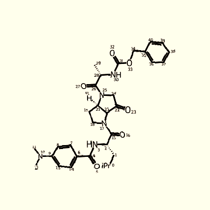 CC(C)C[C@H](NC(=O)c1ccc(N(C)C)cc1)C(=O)N1CC[C@@H]2C1C(=O)CN2C(=O)[C@H](C)NC(=O)OCc1ccccc1